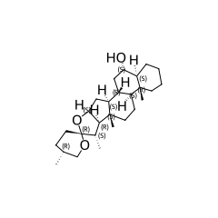 C[C@@H]1CC[C@@]2(OC1)O[C@H]1C[C@H]3[C@@H]4C[C@H](O)[C@H]5CCCC[C@]5(C)[C@H]4CC[C@]3(C)[C@H]1[C@@H]2C